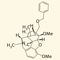 COc1ccc2c3c1O[C@H]1[C@@]4(OC)CCC5([C@@H](C)[C@@H]4COCc4ccccc4)[C@@H](C2)N(C)CC[C@]315